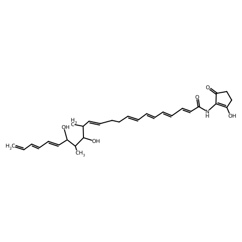 C=C/C=C/C=C/C(O)C(C)C(O)C(C)/C=C/CC/C=C/C=C/C=C/C=C/C(=O)NC1=C(O)CCC1=O